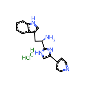 Cl.Cl.N[C@H](Cc1c[nH]c2ccccc12)c1nc(-c2ccncc2)c[nH]1